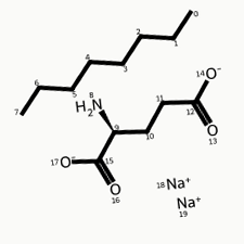 CCCCCCCC.N[C@@H](CCC(=O)[O-])C(=O)[O-].[Na+].[Na+]